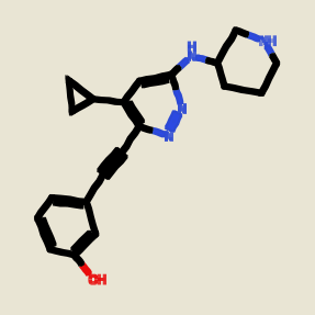 Oc1cccc(C#Cc2nnc(NC3CCCNC3)cc2C2CC2)c1